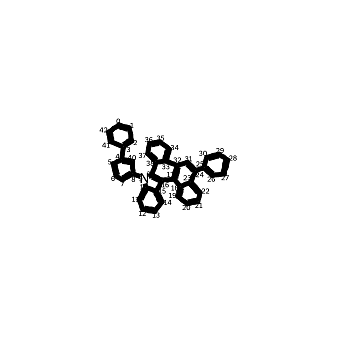 c1ccc(-c2cccc(-n3c4ccccc4c4c5c6ccccc6c(-c6ccccc6)cc5c5ccccc5c43)c2)cc1